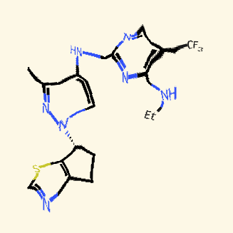 CCNc1nc(Nc2cn([C@@H]3CCc4ncsc43)nc2C)ncc1C(F)(F)F